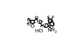 COc1cc(C(=O)N2CCC(C(C)N3CCC(C(N)=O)(c4cccnc4)C(c4ccc(F)c(F)c4)C3)C2)cc(OC)c1OC.Cl